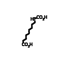 O=C(O)CCCCCCCCPC(=O)O